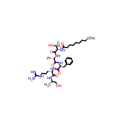 CCCCCCCCCCCCCCCCCC(=O)N[C@H](C(=O)N[C@H](C(=O)N[C@@H](Cc1ccccc1)C(=O)N[C@@H](CCCNC(=N)N)C(=O)N[C@H](C)CO)C(C)C)[C@@H](C)O